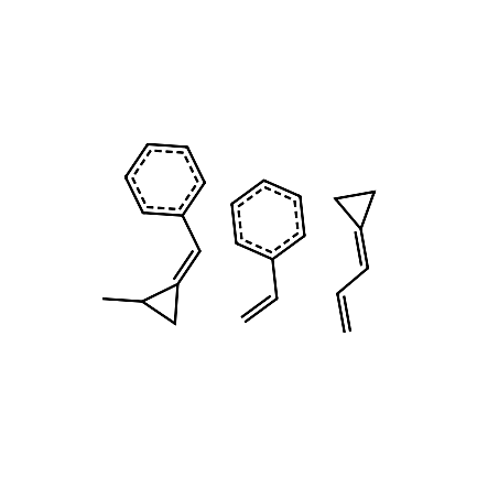 C=CC=C1CC1.C=Cc1ccccc1.CC1CC1=Cc1ccccc1